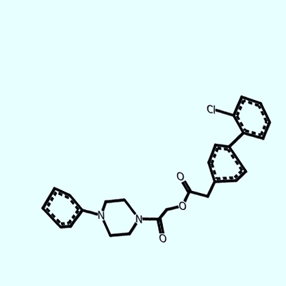 O=C(Cc1ccc(-c2ccccc2Cl)cc1)OCC(=O)N1CCN(c2ccccc2)CC1